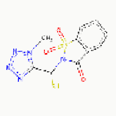 Cn1nnnc1C(S)N1C(=O)c2ccccc2S1(=O)=O